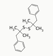 CC(C)(Cc1ccccc1)SSC(C)(C)Cc1ccccc1